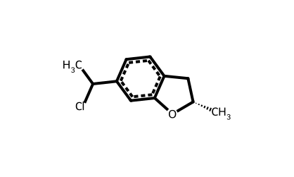 CC(Cl)c1ccc2c(c1)O[C@@H](C)C2